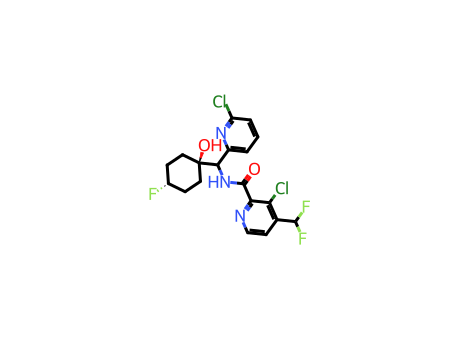 O=C(NC(c1cccc(Cl)n1)[C@]1(O)CC[C@H](F)CC1)c1nccc(C(F)F)c1Cl